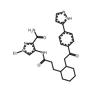 CCn1cc(NC(=O)CCC2CCCCC2CC(=O)c2ccc(-c3ccn[nH]3)cc2)c(C(N)=O)n1